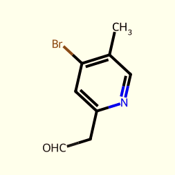 Cc1cnc(CC=O)cc1Br